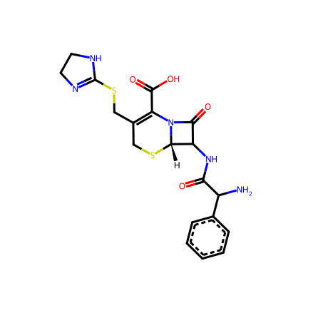 NC(C(=O)NC1C(=O)N2C(C(=O)O)=C(CSC3=NCCN3)CS[C@@H]12)c1ccccc1